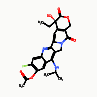 CC[C@@]1(O)C(=O)OCc2c1cc1n(c2=O)Cc2c-1nc1cc(F)c(OC(C)=O)cc1c2NC(C)C